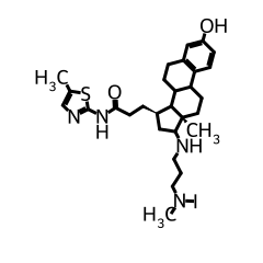 Cc1cnc(NC(=O)CC[C@@H]2CC(NCCCN(C)I)[C@@]3(C)CCC4c5ccc(O)cc5CCC4C23)s1